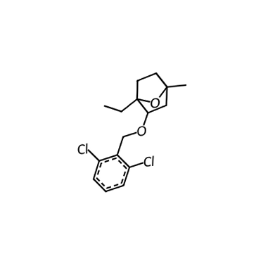 CCC12CCC(C)(CC1OCc1c(Cl)cccc1Cl)O2